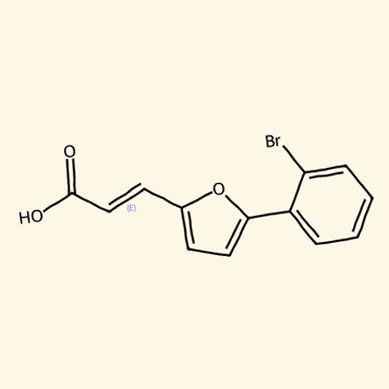 O=C(O)/C=C/c1ccc(-c2ccccc2Br)o1